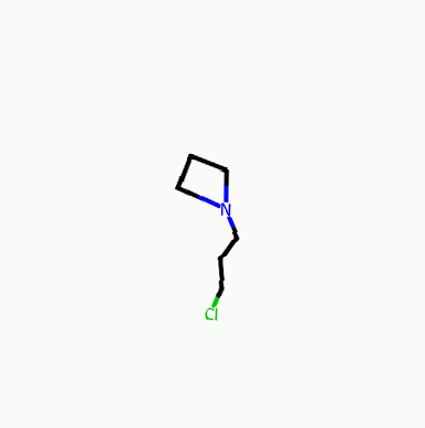 ClCCCN1CCC1